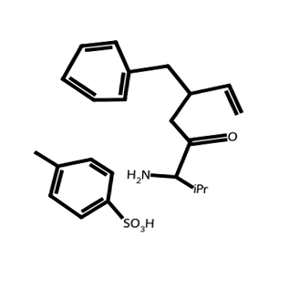 C=CC(CC(=O)C(N)C(C)C)Cc1ccccc1.Cc1ccc(S(=O)(=O)O)cc1